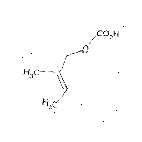 CC=C(C)COC(=O)O